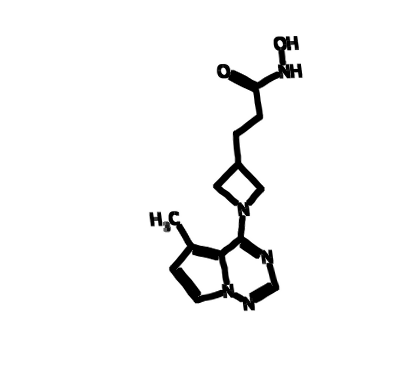 Cc1ccn2ncnc(N3CC(CCC(=O)NO)C3)c12